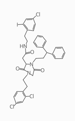 O=C(CC1C(=O)N(CCc2ccc(Cl)cc2Cl)CC(=O)N1CCC(c1ccccc1)c1ccccc1)NCCc1ccc(Cl)cc1I